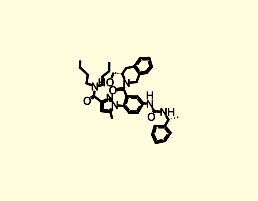 CCCCN(CCCC)C(=O)c1cc(C)n(-c2ccc(NC(=O)N[C@H](C)c3ccccc3)cc2C(=O)N2Cc3ccccc3C[C@H]2CO)n1